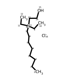 CCCCCCCC[N+](CC)(CC)CCO.[Cl-]